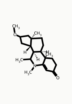 COC1C[C@H]2[C@@H]3C(C)N(C)C4=CC(=O)CC[C@]4(C)[C@@H]3CC[C@]2(C)C1